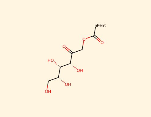 CCCCCC(=O)OCC(=O)[C@H](O)[C@@H](O)[C@H](O)CO